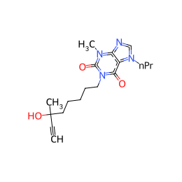 C#CC(C)(O)CCCCCn1c(=O)c2c(ncn2CCC)n(C)c1=O